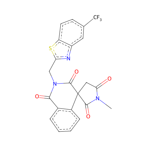 CN1C(=O)CC2(C1=O)C(=O)N(Cc1nc3cc(C(F)(F)F)ccc3s1)C(=O)c1ccccc12